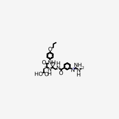 CCCOc1ccc(NC(=O)[C@H](CC(=O)O)NC(=O)CNC(=O)c2cccc(/N=C(\N)NC)c2)cc1